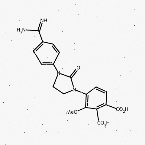 COc1c(N2CCN(c3ccc(C(=N)N)cc3)C2=O)ccc(C(=O)O)c1C(=O)O